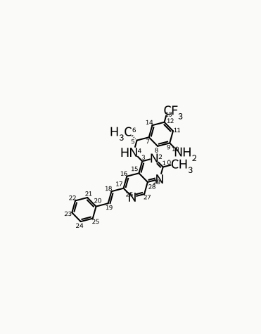 Cc1nc(N[C@H](C)c2cc(N)cc(C(F)(F)F)c2)c2cc(/C=C/c3ccccc3)ncc2n1